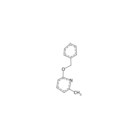 Cc1cccc(OCc2cc[c]cc2)n1